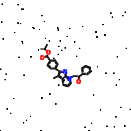 Cc1c2cccn(CC(=O)c3ccccc3)c-2nc1-c1ccc(C(=O)OC(C)C)cc1